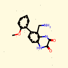 COc1ccccc1-c1ccc2c(c1CN)[N]C(=O)C(=O)N2